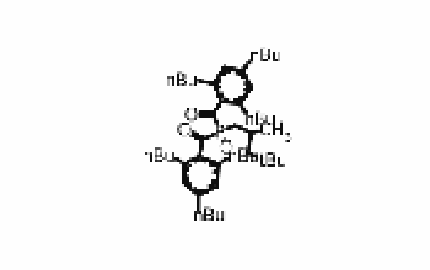 CCCCc1cc(CCCC)c(C(=O)P(=O)(CC(C)CC(C)(C)C)C(=O)c2c(CCCC)cc(CCCC)cc2CCCC)c(CCCC)c1